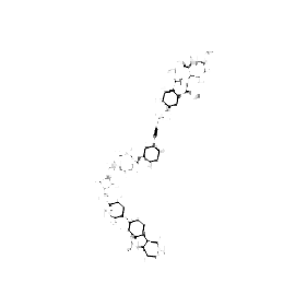 Cn1c2ccncc2c2ccc(-c3ccc(O[C@H]4C[C@H](CN5CCN(c6cccc(C#CCOc7ccc8c(c7)C(=O)N(C7CCC(=O)NC7=O)C8=O)c6)CC5)C4)nc3)cc21